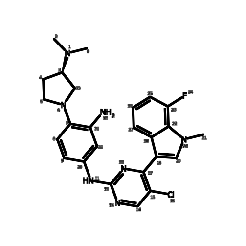 CN(C)[C@@H]1CCN(c2ccc(Nc3ncc(Cl)c(-c4cn(C)c5c(F)cccc45)n3)cc2N)C1